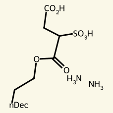 CCCCCCCCCCCCOC(=O)C(CC(=O)O)S(=O)(=O)O.N.N